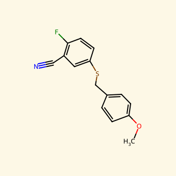 COc1ccc(CSc2ccc(F)c(C#N)c2)cc1